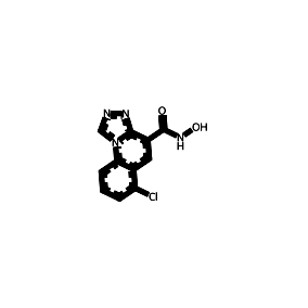 O=C(NO)c1cc2c(Cl)cccc2n2cnnc12